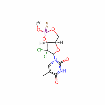 Cc1cn([C@@H]2O[C@@H]3CO[P@](=S)(OC(C)C)O[C@H]3C2(Cl)Cl)c(=O)[nH]c1=O